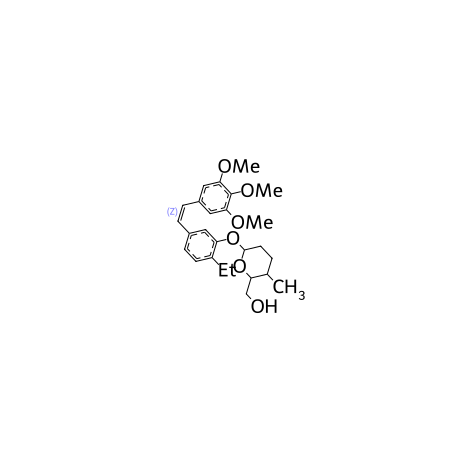 CCc1ccc(/C=C\c2cc(OC)c(OC)c(OC)c2)cc1OC1CCC(C)C(CO)O1